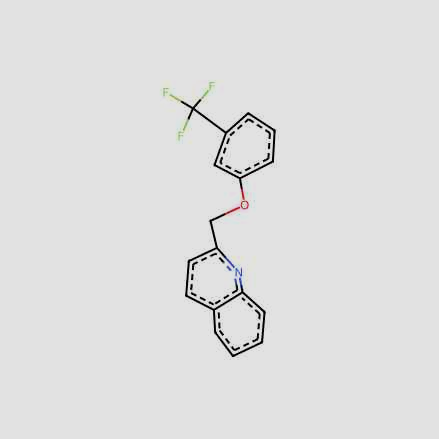 FC(F)(F)c1cccc(OCc2ccc3ccccc3n2)c1